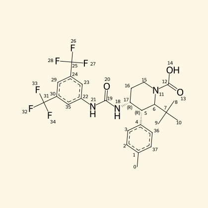 Cc1ccc([C@H]2C(C(C)(C)C)N(C(=O)O)CC[C@H]2NC(=O)Nc2cc(C(F)(F)F)cc(C(F)(F)F)c2)cc1